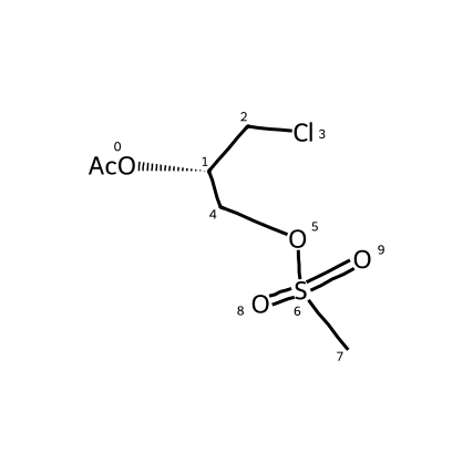 CC(=O)O[C@H](CCl)COS(C)(=O)=O